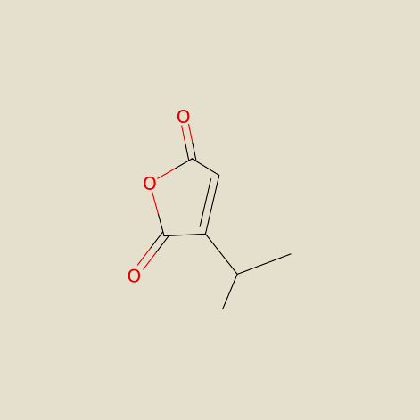 CC(C)C1=CC(=O)OC1=O